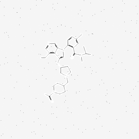 CCc1cncc2c1c(C[C@@H]1CCN(CC3CCN(C(C)=O)CC3)C1)cn2-c1ccc(F)cc1C(=O)N(C)C(C)C